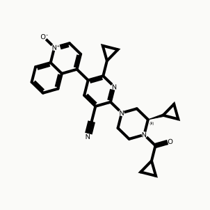 N#Cc1cc(-c2cc[n+]([O-])c3ccccc23)c(C2CC2)nc1N1CCN(C(=O)C2CC2)[C@H](C2CC2)C1